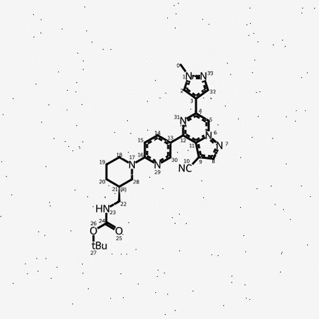 Cn1cc(-c2cn3ncc(C#N)c3c(-c3ccc(N4CCC[C@H](CNC(=O)OC(C)(C)C)C4)nc3)n2)cn1